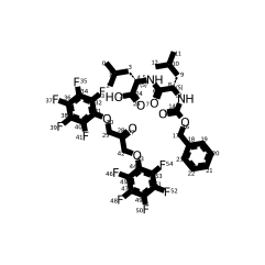 CC(C)C[C@H](NC(=O)[C@H](CC(C)C)NC(=O)OCc1ccccc1)C(=O)O.O=C(COc1c(F)c(F)c(F)c(F)c1F)COc1c(F)c(F)c(F)c(F)c1F